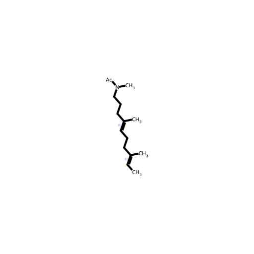 C/C=C(\C)CC/C=C(\C)CCCN(C)C(C)=O